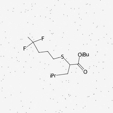 CC(C)COC(=O)C(CC(C)C)SCCCC(C)(F)F